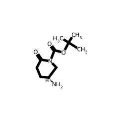 CC(C)(C)OC(=O)N1C[C@H](N)CCC1=O